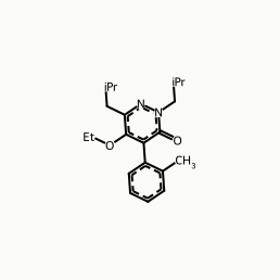 CCOc1c(CC(C)C)nn(CC(C)C)c(=O)c1-c1ccccc1C